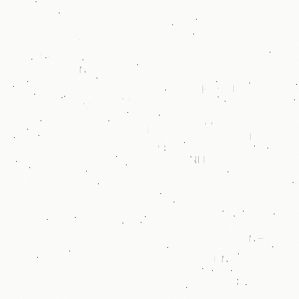 CCO[C@H](C(=O)NCc1ccc(C(=N)N)cc1)c1c(F)ccc(OCC(=O)N(CC)CC)c1F.Cl